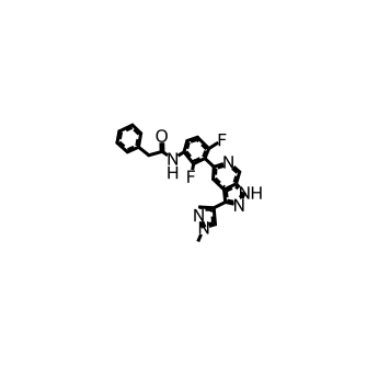 Cn1cc(-c2n[nH]c3cnc(-c4c(F)ccc(NC(=O)Cc5ccccc5)c4F)cc23)cn1